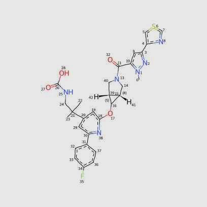 Cn1nc(-c2cscn2)cc1C(=O)N1C[C@@H]2C(Oc3cc(C(C)(C)CNC(=O)O)cc(-c4ccc(F)cc4)n3)[C@@H]2C1